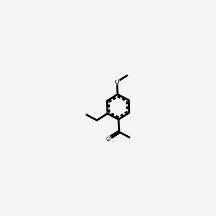 CCc1cc(OC)ccc1C(C)=O